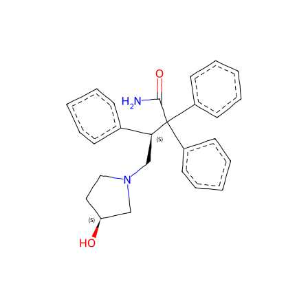 NC(=O)C(c1ccccc1)(c1ccccc1)[C@@H](CN1CC[C@H](O)C1)c1ccccc1